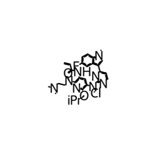 C=CC(=O)Nc1cc(N(Cl)c2nccc(-c3cn(C)c4ccc(F)cc34)n2)c(OC(C)C)nc1N(C)CCN(C)C